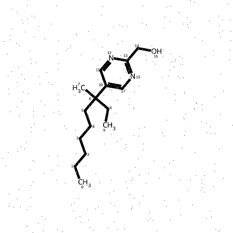 CCCCCCC(C)(CC)c1cnc(CO)nc1